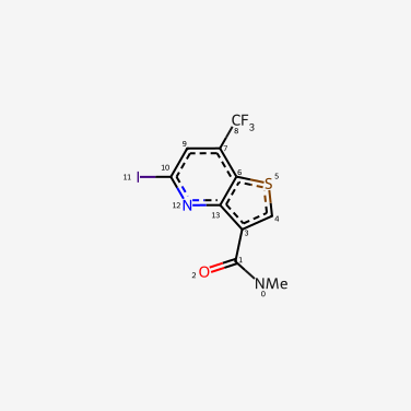 CNC(=O)c1csc2c(C(F)(F)F)cc(I)nc12